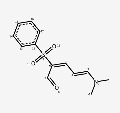 CN(C)C=CC=C(C=O)S(=O)(=O)c1ccccc1